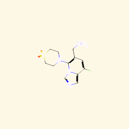 NCc1cc(Cl)c2cncn2c1N1CCS(=O)(=O)CC1